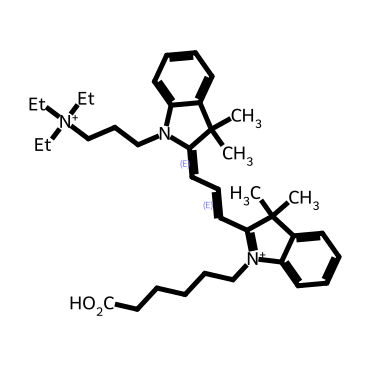 CC[N+](CC)(CC)CCCN1/C(=C/C=C/C2=[N+](CCCCCC(=O)O)c3ccccc3C2(C)C)C(C)(C)c2ccccc21